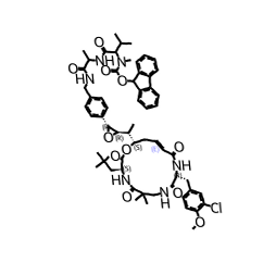 COc1ccc(C[C@H]2NC(=O)/C=C/C[C@@H](C(C)[C@H]3O[C@@H]3c3ccc(CNC(=O)C(C)NC(=O)C(C(C)C)N(C)C(=O)OC4c5ccccc5-c5ccccc54)cc3)OC(=O)[C@H](CC(C)(C)C)NC(=O)C(C)(C)CNC2=O)cc1Cl